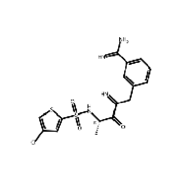 C[C@H](NS(=O)(=O)c1cc(Cl)cs1)C(=O)C(=N)Cc1cccc(C(=N)N)c1